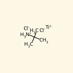 CC(C)(C)[NH3+].[Cl-].[Cl-].[Ti+]